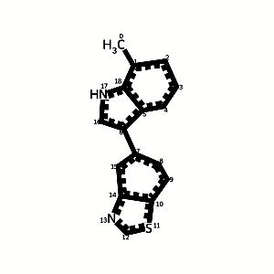 Cc1cccc2c(-c3ccc4scnc4c3)c[nH]c12